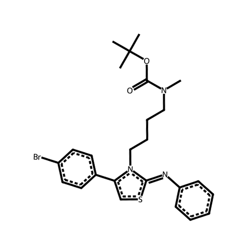 CN(CCCCn1c(-c2ccc(Br)cc2)csc1=Nc1ccccc1)C(=O)OC(C)(C)C